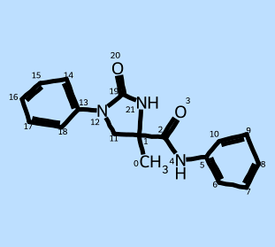 CC1(C(=O)Nc2ccccc2)CN(c2ccccc2)C(=O)N1